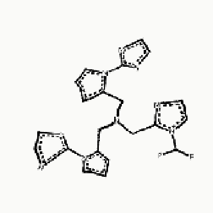 FC(F)n1ccnc1CN(Cc1cccn1-c1nccs1)Cc1cccn1-c1nccs1